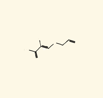 C=CCS/C=C(\Cl)C(C)=O